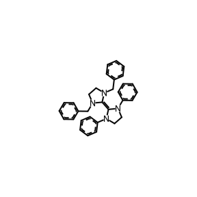 c1ccc(CN2CCN(Cc3ccccc3)C2=C2N(c3ccccc3)CCN2c2ccccc2)cc1